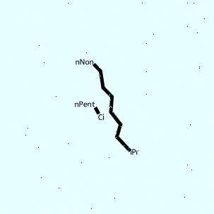 CCCCCCCCCCCCCCCC(C)C.CCCCCCl